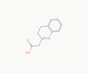 O=C(O)CC1=Nc2ccccc2CC1